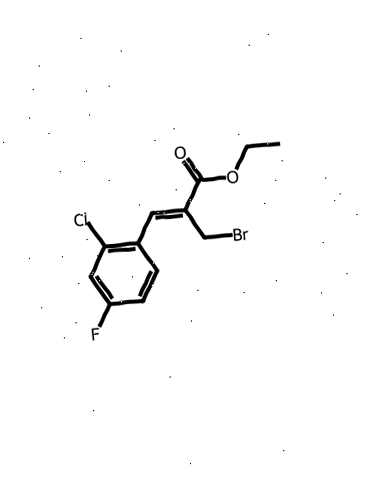 CCOC(=O)C(=Cc1ccc(F)cc1Cl)CBr